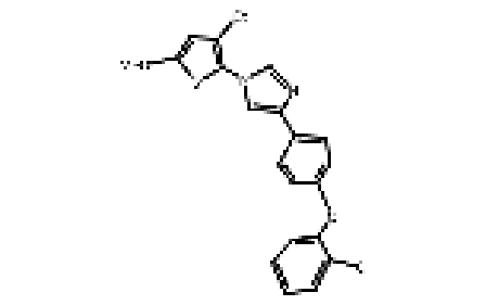 CCc1cc(OC)sc1-n1cnc(-c2ccc(Oc3ccccc3Cl)cc2)c1